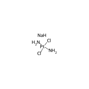 [NH2][Pt]([NH2])([Cl])[Cl].[NaH]